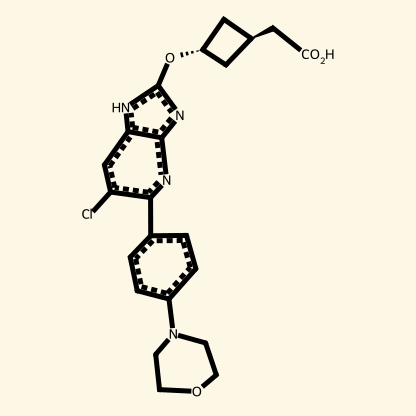 O=C(O)C[C@H]1C[C@H](Oc2nc3nc(-c4ccc(N5CCOCC5)cc4)c(Cl)cc3[nH]2)C1